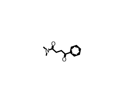 CN(C)C(=O)CCC(=O)c1ccccc1